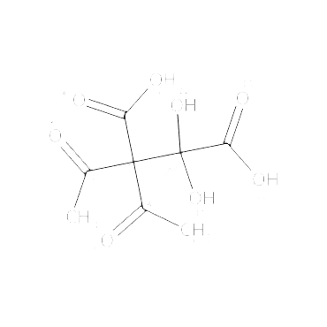 CC(=O)C(C(C)=O)(C(=O)O)C(O)(O)C(=O)O